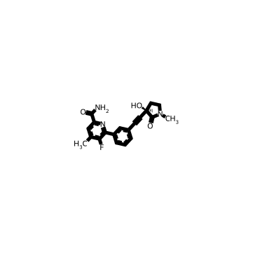 Cc1cc(C(N)=O)nc(-c2cccc(C#C[C@]3(O)CCN(C)C3=O)c2)c1F